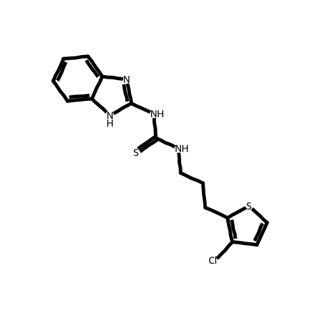 S=C(NCCCc1sccc1Cl)Nc1nc2ccccc2[nH]1